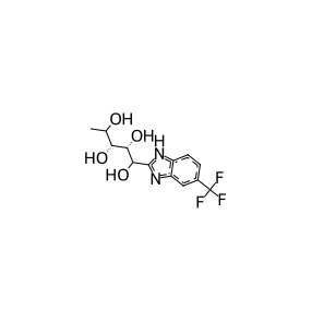 CC(O)[C@@H](O)[C@H](O)C(O)c1nc2cc(C(F)(F)F)ccc2[nH]1